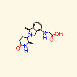 C=C1NC(=O)CCC1N1Cc2c(NCC(=O)O)cccc2C1=C